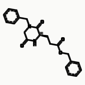 O=C1CN(Cc2ccccc2)C(=O)[C@@H](CCC(=O)OCc2ccccc2)N1